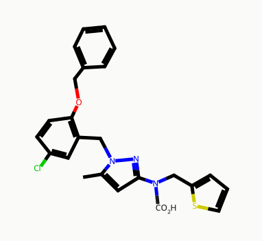 Cc1cc(N(Cc2cccs2)C(=O)O)nn1Cc1cc(Cl)ccc1OCc1ccccc1